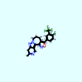 CC1Cc2nn3c(c2C=N1)-c1noc(-c2ccc(F)c(C(F)(F)F)c2)c1CCC3